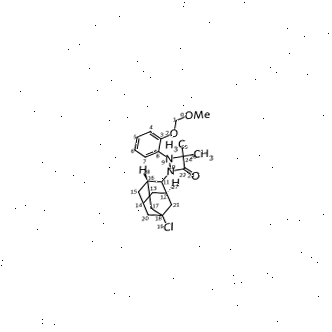 COCOc1ccccc1N1N(C2[C@@H]3CC4C[C@H]2CC(Cl)(C4)C3)C(=O)C1(C)C